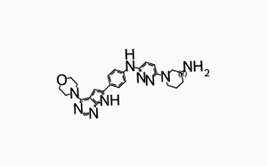 N[C@@H]1CCCN(c2ccc(Nc3ccc(-c4cc5c(N6CCOCC6)ncnc5[nH]4)cc3)nn2)C1